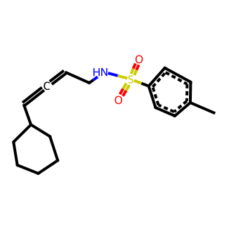 Cc1ccc(S(=O)(=O)NCC=C=CC2CCCCC2)cc1